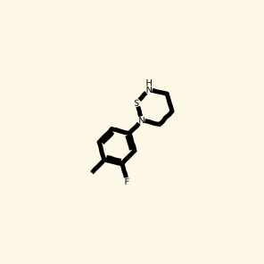 Cc1ccc(N2CCCNS2)cc1F